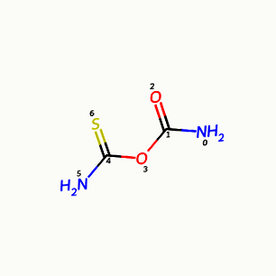 NC(=O)OC(N)=S